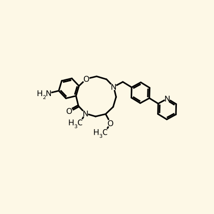 COC1CCN(Cc2ccc(-c3ccccn3)cc2)CCOc2ccc(N)cc2C(=O)N(C)C1